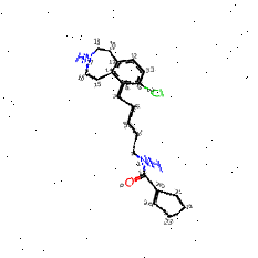 O=C(NCCCCCc1c(Cl)ccc2c1CCNCC2)C1CCCC1